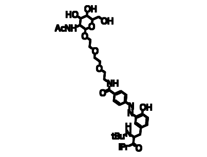 CC(=O)NC1C(O)[C@@H](O)C(CO)O[C@H]1OCCOCCOCCNC(=O)c1ccc(/N=N/c2cc(CC(NC(C)(C)C)C(=O)C(C)C)ccc2O)cc1